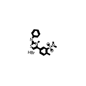 Br.Cc1ccc(-c2csc(=Nc3ccccc3)n2C)cc1S(=O)(=O)N(C)C